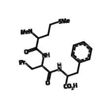 CNC(CCSC)C(=O)NC(CC(C)C)C(=O)NC(Cc1ccccc1)C(=O)O